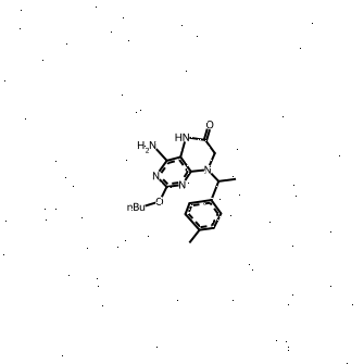 CCCCOc1nc(N)c2c(n1)N(C(C)c1ccc(C)cc1)CC(=O)N2